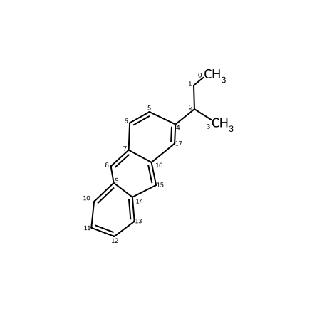 CCC(C)c1ccc2cc3ccccc3cc2c1